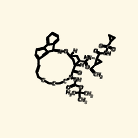 C=C[C@@H]1C[C@]1(NC(=O)[C@@H]1C[C@@H]2C[C@H]1C(=O)N(NC(=O)OC(C)(C)C)CCCCCC/C=C/c1ccc3c(c1)/C(=N/O2)c1ccccc1-3)C(=O)NS(=O)(=O)C1CC1